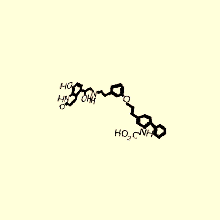 O=C(O)Nc1cc(CCCOc2cccc(CCNCC(O)c3ccc(O)c4[nH]c(=O)ccc34)c2)ccc1-c1ccccc1